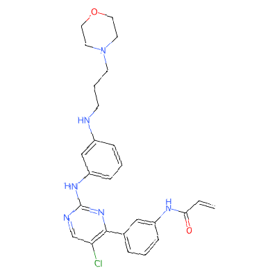 C=CC(=O)Nc1cccc(-c2nc(Nc3cccc(NCCCN4CCOCC4)c3)ncc2Cl)c1